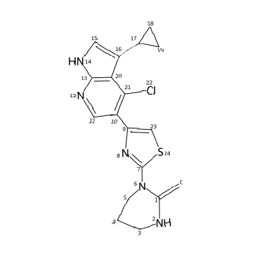 C=C1NCCCN1c1nc(-c2cnc3[nH]cc(C4CC4)c3c2Cl)cs1